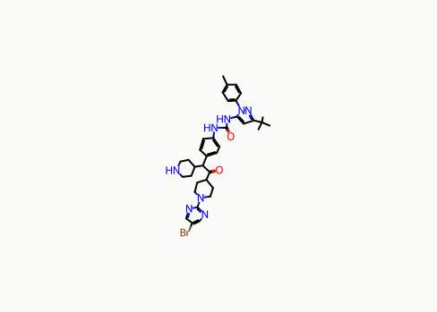 Cc1ccc(-n2nc(C(C)(C)C)cc2NC(=O)Nc2ccc(C(C(=O)C3CCN(c4ncc(Br)cn4)CC3)C3CCNCC3)cc2)cc1